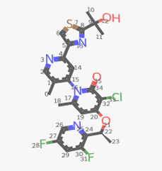 Cc1cnc(-c2csc(C(C)(C)O)n2)cc1-n1c(C)cc(O[C@@H](C)c2ncc(F)cc2F)c(Cl)c1=O